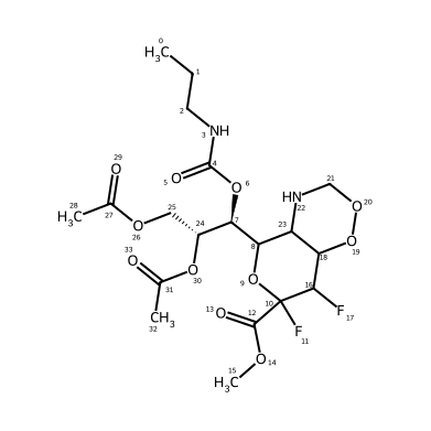 CCCNC(=O)O[C@@H](C1OC(F)(C(=O)OC)C(F)C2OOCNC21)[C@@H](COC(C)=O)OC(C)=O